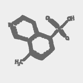 Cc1ccc(S(=O)(=O)O)c2ccncc12